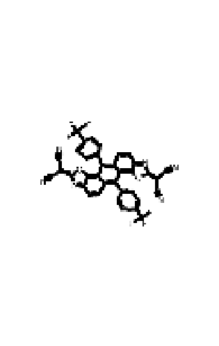 N#CC(C#N)=c1nc2ccc3c(-c4ccc(C(F)(F)F)cc4)c4c(ccc5nc(=C(C#N)C#N)oc54)c(-c4ccc(C(F)(F)F)cc4)c3c2o1